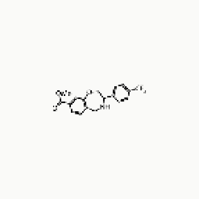 COC(=O)c1ccc2c(c1)OCC(c1ccc(C(F)(F)F)cc1)NC2